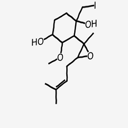 COC1C(O)CCC(O)(CI)C1C1(C)OC1CC=C(C)C